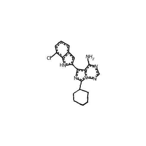 Nc1ncnn2c(C3CCCCC3)nc(-c3cc4cccc(Cl)c4[nH]3)c12